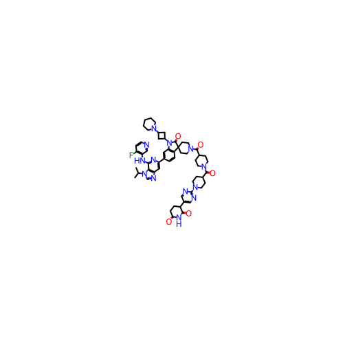 CC(C)n1cnc2cc(-c3ccc4c(c3)N(C3CC(N5CCCCC5)C3)C(=O)C43CCN(C(=O)C4CCN(C(=O)C5CCN(c6ncc(C7CCC(=O)NC7=O)cn6)CC5)CC4)CC3)nc(Nc3cnccc3F)c21